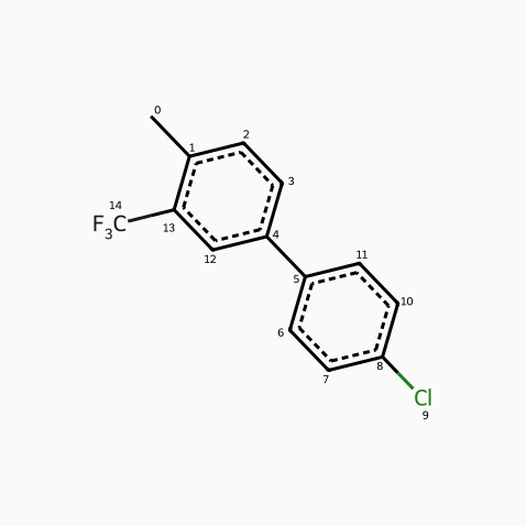 Cc1ccc(-c2ccc(Cl)cc2)cc1C(F)(F)F